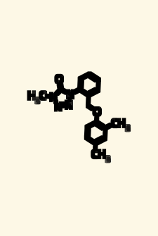 Cc1ccc(OCc2ccccc2-n2nnn(C)c2=O)c(C)c1